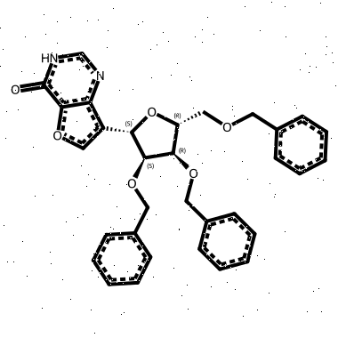 O=c1[nH]cnc2c([C@@H]3O[C@H](COCc4ccccc4)[C@@H](OCc4ccccc4)[C@H]3OCc3ccccc3)coc12